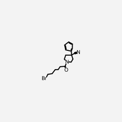 N#CC1(c2ccccc2)CCN(C(=O)CCCCCBr)CC1